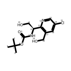 CC(C)(C)OC(=O)N[C@@H](CO)c1ncc(Cl)cc1CO